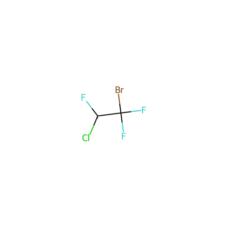 F[C](Cl)C(F)(F)Br